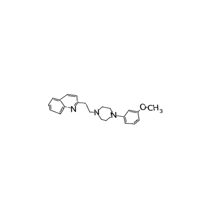 COc1cccc(N2CCN(CCc3ccc4ccccc4n3)CC2)c1